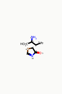 CC(C)CC(N)C(=O)O.O=C1CSC=N1